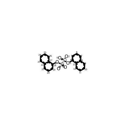 O=S(=O)(Oc1cccc2ccccc12)S(=O)(=O)Oc1cccc2ccccc12